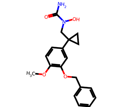 COc1ccc(C2(CN(O)C(N)=O)CC2)cc1OCc1ccccc1